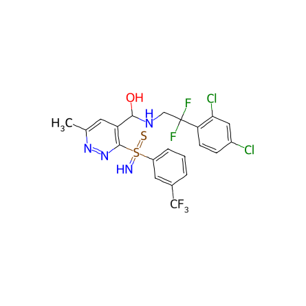 Cc1cc(C(O)NCC(F)(F)c2ccc(Cl)cc2Cl)c(S(=N)(=S)c2cccc(C(F)(F)F)c2)nn1